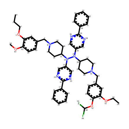 CCCOc1cc(CN2CCC(N(c3cnc(-c4ccccc4)nc3)N(c3cnc(-c4ccccc4)nc3)C3CCN(Cc4ccc(OC(F)F)c(OCC)c4)CC3)CC2)ccc1OC